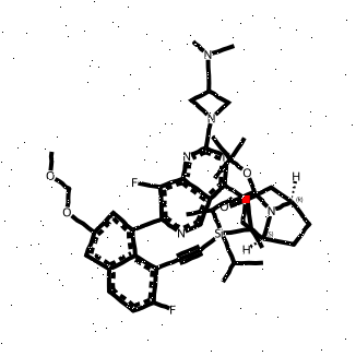 COCOc1cc(-c2ncc3c(N4C[C@H]5CC[C@@H](C4)N5C(=O)OC(C)(C)C)nc(N4CC(N(C)C)C4)nc3c2F)c2c(C#C[Si](C(C)C)(C(C)C)C(C)C)c(F)ccc2c1